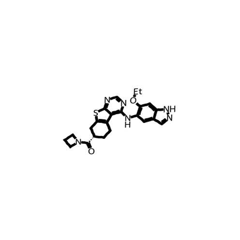 CCOc1cc2[nH]ncc2cc1Nc1ncnc2sc3c(c12)CC[C@H](C(=O)N1CCC1)C3